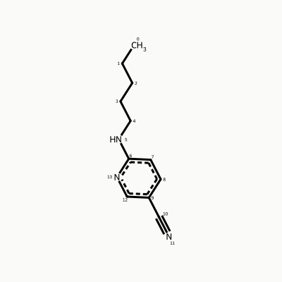 CCCCCNc1ccc(C#N)cn1